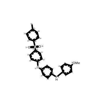 COc1ccc(Pc2ccc(Oc3ccc(S(=O)(=O)c4ccc(C)cc4)cc3)cc2)cc1